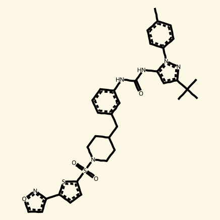 Cc1ccc(-n2nc(C(C)(C)C)cc2NC(=O)Nc2cccc(CC3CCN(S(=O)(=O)c4ccc(-c5ccon5)s4)CC3)c2)cc1